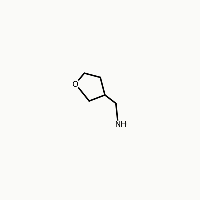 [NH]CC1CCOC1